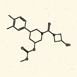 COC(=O)OC1CC(c2ccc(C)c(C)c2)CN(C(=O)N2CC(O)C2)C1